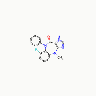 CN1c2cccc(F)c2N(c2ccccc2)C(=O)c2[nH]cnc21